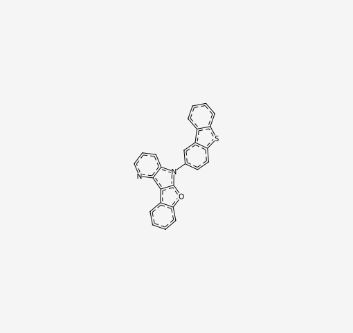 c1ccc2c(c1)oc1c2c2ncccc2n1-c1ccc2sc3ccccc3c2c1